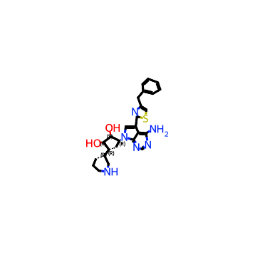 Nc1ncnc2c1c(-c1nc(Cc3ccccc3)cs1)cn2[C@@H]1C[C@H]([C@H]2CCCNC2)[C@@H](O)[C@H]1O